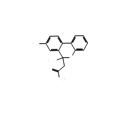 COC(=O)CC1(C)Nc2ccccc2-c2ccc(C(F)(F)F)cc21